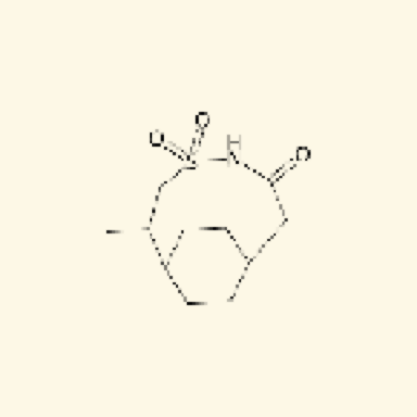 CC1CS(=O)(=O)NC(=O)CC2CCC1CC2